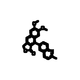 COc1cc2cc3c(c(-c4ccc5nc(C)ccc5c4)c2cc1OC)C(=O)OC3